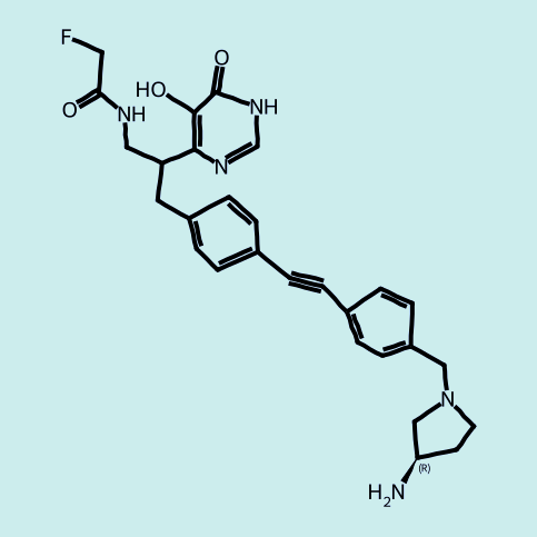 N[C@@H]1CCN(Cc2ccc(C#Cc3ccc(CC(CNC(=O)CF)c4nc[nH]c(=O)c4O)cc3)cc2)C1